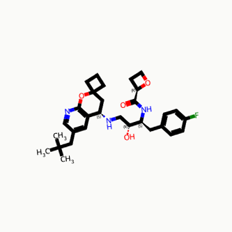 CC(C)(C)Cc1cnc2c(c1)[C@@H](NC[C@@H](O)[C@H](Cc1ccc(F)cc1)NC(=O)[C@H]1CCO1)CC1(CCC1)O2